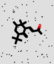 C=C1C(C(C)(C)C)CC(C)C(C)(C)C1/C=C/C(C)=O